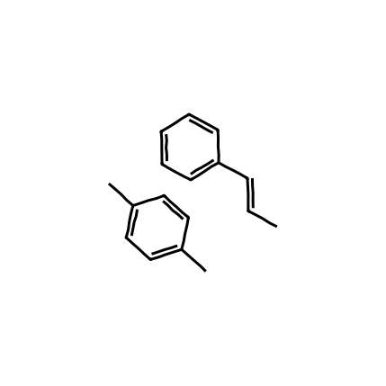 CC=Cc1ccccc1.Cc1ccc(C)cc1